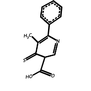 CC1=C(c2ccccc2)N=CC(C(=O)O)C1=S